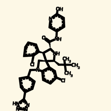 CC(C)(C)C[C@@H]1N[C@@H](C(=O)Nc2ccc(O)nc2)[C@H](c2ccccc2Cl)[C@]12CN(Cc1ccc(-c3nnn[nH]3)cc1)c1ccc(Cl)cc12